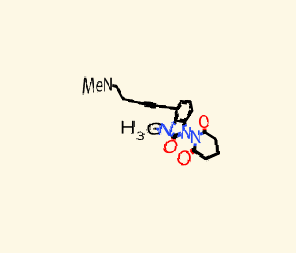 CNCCC#Cc1cccc2c1n(C)c(=O)n2N1C(=O)CCCC1=O